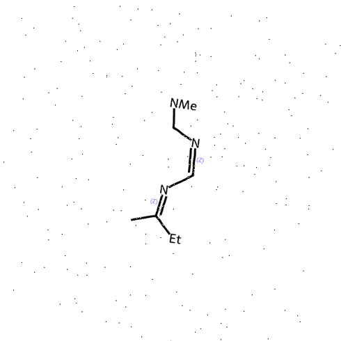 CC/C(C)=N\C=N/CNC